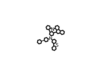 c1ccc(-c2ccc(N(c3ccc4sc5ccccc5c4c3)c3cc4c5cc6ccccc6c6cccc(c65)n5c6ccccc6c(c3)c45)cc2)cc1